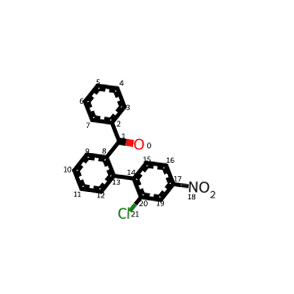 O=C(c1ccccc1)c1ccccc1-c1ccc([N+](=O)[O-])cc1Cl